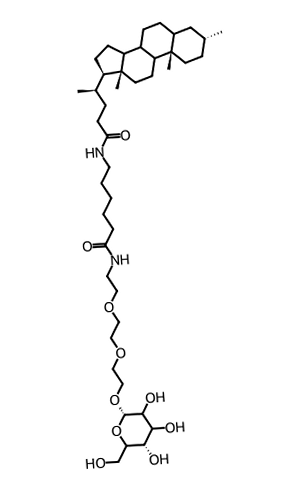 C[C@@H]1CC[C@@]2(C)C(CCC3C2CC[C@@]2(C)C3CC[C@@H]2[C@H](C)CCC(=O)NCCCCCC(=O)NCCOCCOCCO[C@H]2OC(CO)[C@@H](O)C(O)C2O)C1